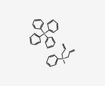 C=CC[P+](C)(CC=C)c1ccccc1.c1ccc([B-](c2ccccc2)(c2ccccc2)c2ccccc2)cc1